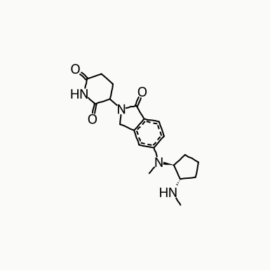 CN[C@H]1CCC[C@@H]1N(C)c1ccc2c(c1)CN(C1CCC(=O)NC1=O)C2=O